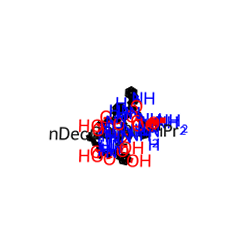 CCCCCCCCCCCCCCCC(=O)N[C@@H](CO)C(=O)N[C@@H](Cc1ccc(O)cc1)C(=O)N[C@@H](CO)C(=O)N[C@@H](CCCC)C(=O)N[C@@H](CCC(=O)O)C(=O)N[C@@H](CO)C(=O)N[C@H](Cc1ccccc1)C(=O)N[C@@H](CCCNC(=N)N)C(=O)N[C@@H](Cc1c[nH]c2ccccc12)C(=O)NCC(=O)N[C@@H](CCCCN)C(=O)N1CCC[C@H]1C(=O)N[C@H](C(N)=O)C(C)C